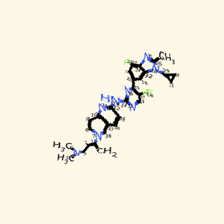 C=C(CCN(C)C)N1CCc2nc(Nc3ncc(F)c(-c4cc(F)c5nc(C)n(C6CC6)c5c4)n3)ccc2C1